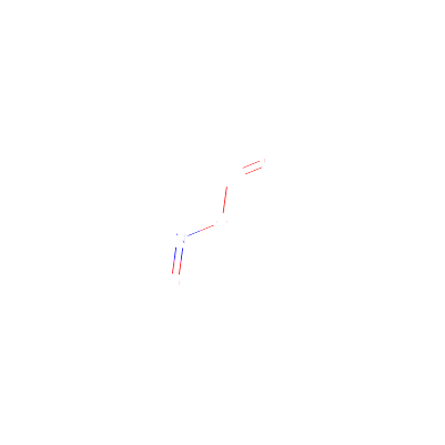 O=NO[O+]=O